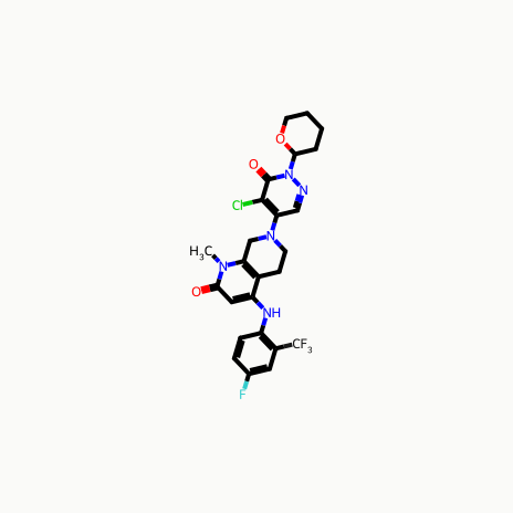 Cn1c2c(c(Nc3ccc(F)cc3C(F)(F)F)cc1=O)CCN(c1cnn(C3CCCCO3)c(=O)c1Cl)C2